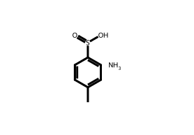 Cc1ccc(S(=O)O)cc1.N